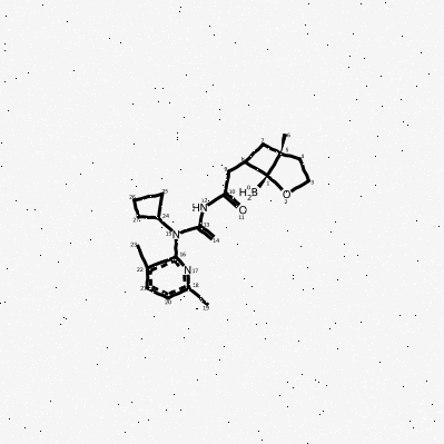 B[C@]12OCC[C@@]1(C)CC2CC(=O)NC(=C)N(c1nc(C)ccc1C)C1CCC1